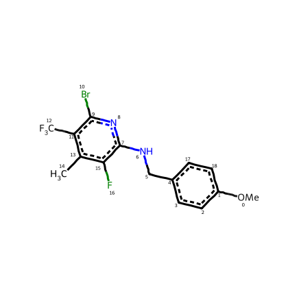 COc1ccc(CNc2nc(Br)c(C(F)(F)F)c(C)c2F)cc1